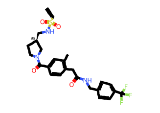 C=CS(=O)(=O)NC[C@@H]1CCN(C(=O)c2ccc(CC(=O)NCc3ccc(C(F)(F)F)cc3)c(C)c2)C1